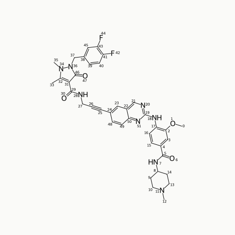 COc1cc(C(=O)NC2CCN(C)CC2)ccc1Nc1ncc2cc(C#CCNC(=O)c3c(C)n(C)n(Cc4ccc(F)c(F)c4)c3=O)ccc2n1